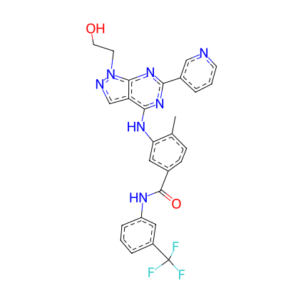 Cc1ccc(C(=O)Nc2cccc(C(F)(F)F)c2)cc1Nc1nc(-c2cccnc2)nc2c1cnn2CCO